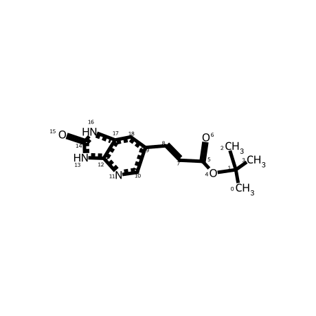 CC(C)(C)OC(=O)C=Cc1cnc2[nH]c(=O)[nH]c2c1